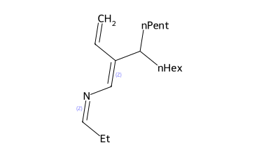 C=C/C(=C\N=C/CC)C(CCCCC)CCCCCC